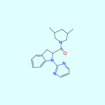 CC1CC(C)CN(C(=O)C2Cc3ccccc3N2c2ncccn2)C1